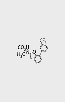 CN(C(=O)O)C1Cc2cccc(-c3cccc(C(F)(F)F)c3)c2O1